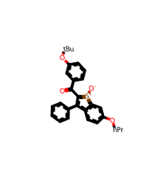 CCCOc1ccc2c(-c3ccccc3)c(C(=O)c3cccc(OC(C)(C)C)c3)[s+]([O-])c2c1